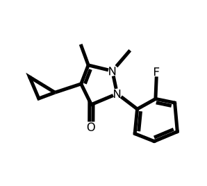 Cc1c(C2CC2)c(=O)n(-c2ccccc2F)n1C